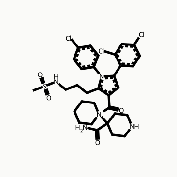 CS(=O)(=O)NCCCc1c(C(=O)[N+]2(C3(C(N)=O)CCNCC3)CCCCC2)cc(-c2ccc(Cl)cc2Cl)n1-c1ccc(Cl)cc1